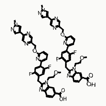 COCCn1c(Cc2cc(F)c(-c3cccc(OCc4cnc(-c5cnn(C)c5)cn4)n3)cc2F)nc2ccc(C(=O)O)cc21.COCCn1c(Cc2cc(F)c(-c3cccc(OCc4cnc(-c5cnn(C)c5)cn4)n3)cc2F)nc2ccc(C(=O)O)cc21